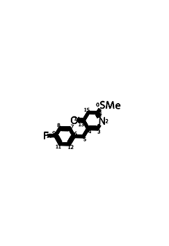 CSC1=NC=C(Cc2ccc(F)cc2)C(=O)C1